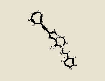 O=C1c2cc(C#Cc3ccccc3)cn2CCN1CCc1ccccc1